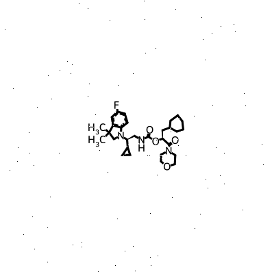 CC1(C)CN([C@@H](CNC(=O)O[C@@H](CC2CCCCC2)C(=O)N2CCOCC2)C2CC2)c2ccc(F)cc21